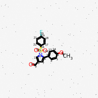 COc1ccc(-c2cc(C=O)cn2S(=O)(=O)c2ccc(F)cc2)cc1